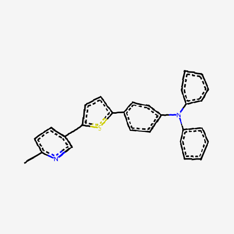 Cc1ccc(-c2ccc(-c3ccc(N(c4ccccc4)c4ccccc4)cc3)s2)cn1